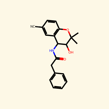 CC1(C)Oc2ccc(C#N)cc2C(NC(=O)Cc2ccccc2)C1O